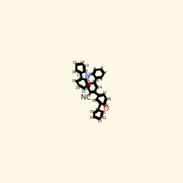 N#Cc1ccc(-c2ccccc2-n2c3ccccc3c3ccccc32)cc1-c1ccc2oc3ccccc3c2c1